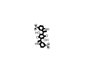 O=C1C(O)=C(c2c[nH]c3ccc([N+](=O)[O-])cc23)C(=O)C(O)=C1c1c[nH]c2ccc([N+](=O)[O-])cc12